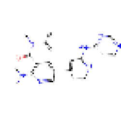 C=C(CC)N(C)C(=O)c1cc(-c2ccnc(Nc3ccncn3)c2)cnc1N(C)C